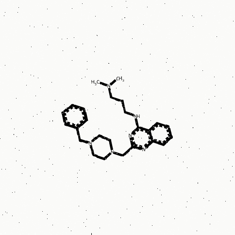 CN(C)CCCNc1nc(CN2CCN(Cc3ccccc3)CC2)nc2ccccc12